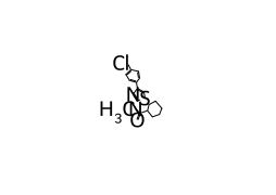 CN(C(=O)C1CCCCC1)c1nc(-c2ccc(Cl)cc2)cs1